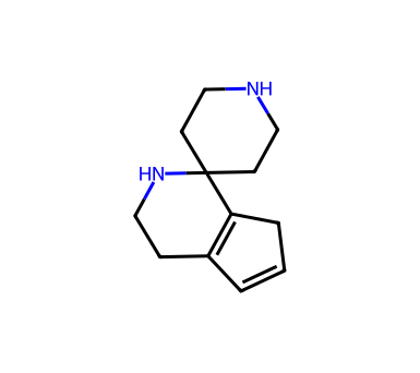 C1=CC2=C(C1)C1(CCNCC1)NCC2